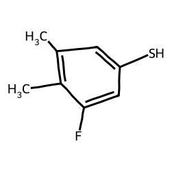 Cc1cc(S)cc(F)c1C